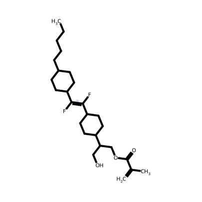 C=C(C)C(=O)OCC(CO)C1CCC(/C(F)=C(\F)C2CCC(CCCCC)CC2)CC1